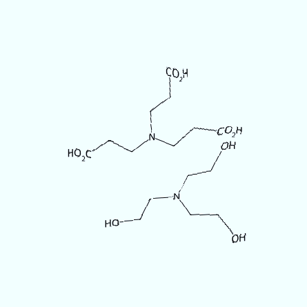 O=C(O)CCN(CCC(=O)O)CCC(=O)O.OCCN(CCO)CCO